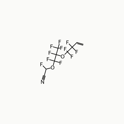 C=CC(F)(F)C(F)(F)OC(F)(C(F)(F)F)C(F)(F)OC(F)C#N